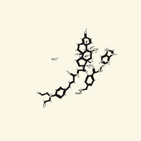 CNNCc1ccc(C(=O)NC(C)C)cc1.C[C@]12C=CC(=O)C=C1CC[C@@H]1[C@@H]2[C@@H](O)C[C@@]2(C)[C@H]1CC[C@]2(O)C(=O)COC(=O)CCCc1ccc(N(CCCl)CCCl)cc1.Cl.c1ncc2[nH]cnc2n1